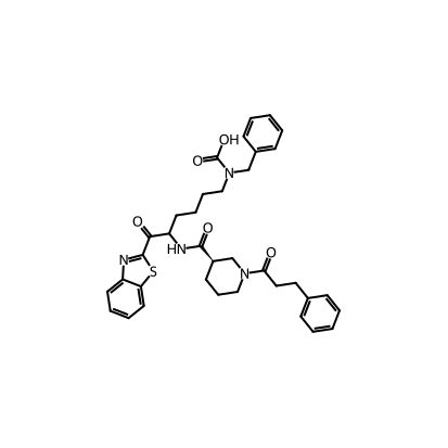 O=C(c1nc2ccccc2s1)C(CCCCN(Cc1ccccc1)C(=O)O)NC(=O)[C@@H]1CCCN(C(=O)CCc2ccccc2)C1